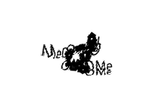 COc1ccc(C2(CCN3CCC(C(=O)c4nc5ccccc5n4Cc4cccnc4)CC3)CCN(C(=O)c3cc(OC)c(OC)c(OC)c3)C2)cc1OC